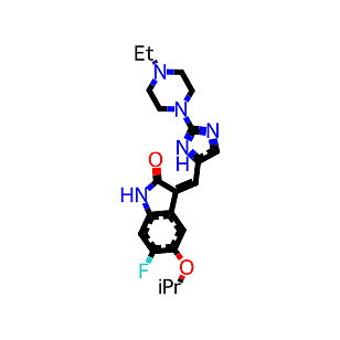 CCN1CCN(c2ncc(/C=C3\C(=O)Nc4cc(F)c(OC(C)C)cc43)[nH]2)CC1